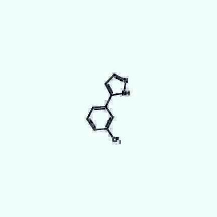 FC(F)(F)c1cccc(-c2c[c]n[nH]2)c1